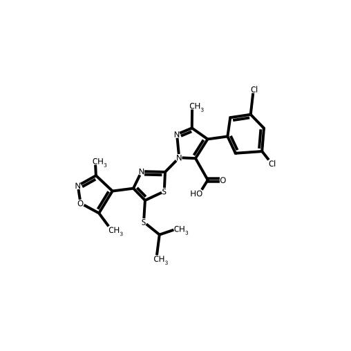 Cc1noc(C)c1-c1nc(-n2nc(C)c(-c3cc(Cl)cc(Cl)c3)c2C(=O)O)sc1SC(C)C